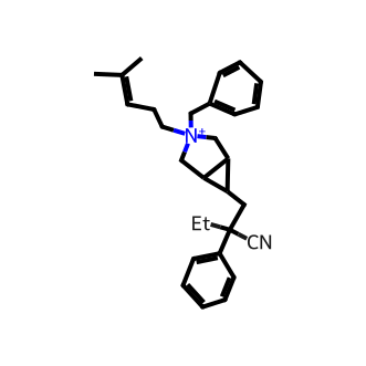 CCC(C#N)(CC1C2C[N+](CCC=C(C)C)(Cc3ccccc3)CC12)c1ccccc1